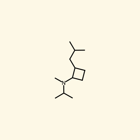 CC(C)CC1CCC1N(C)C(C)C